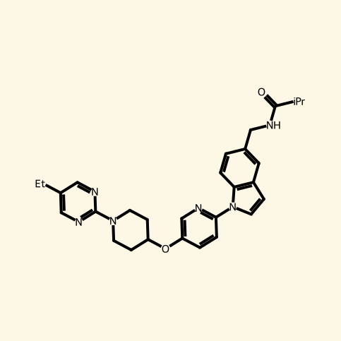 CCc1cnc(N2CCC(Oc3ccc(-n4ccc5cc(CNC(=O)C(C)C)ccc54)nc3)CC2)nc1